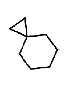 [CH]1CCCC2(C1)CC2